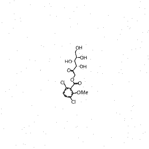 COc1c(Cl)ccc(Cl)c1C(=O)OCC(=O)[C@@H](O)[C@H](O)[C@H](O)CO